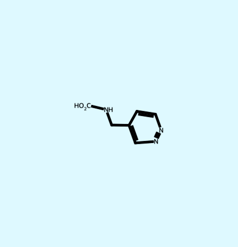 O=C(O)NCc1ccnnc1